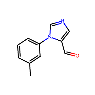 Cc1cccc(-n2cncc2C=O)c1